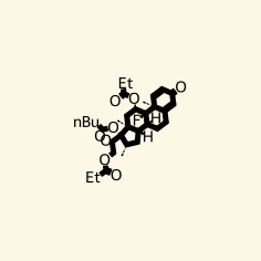 CCCCC(=O)O[C@]1(C(=O)COC(=O)CC)[C@@H](C)C[C@H]2[C@@H]3CCC4=CC(=O)C=C[C@]4(C)[C@@]3(F)[C@@H](OC(=O)CC)C[C@@]21C